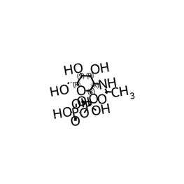 CC(=O)N[C@H]1[C@@H](OP(=O)(O)OP(=O)(O)O)O[C@H](CO)[C@@H](O)[C@@H]1O